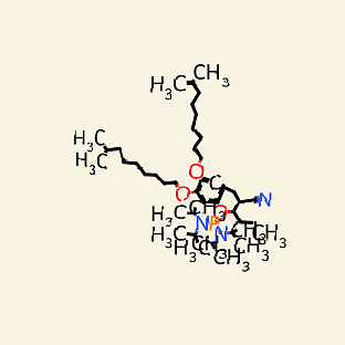 CCCC(OP(N(C(C)C)C(C)C)N(C(C)C)C(C)C)C(C#N)Cc1ccc(OCCCCCCCC(C)C)c(OCCCCCCCC(C)C)c1